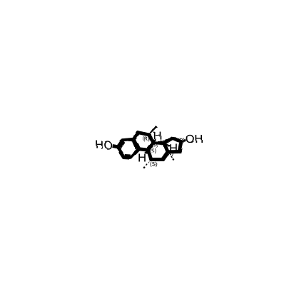 C[C@@H]1Cc2cc(O)ccc2[C@@H]2[C@@H]1[C@@H]1C[C@@H](O)C[C@@]1(C)C[C@@H]2C